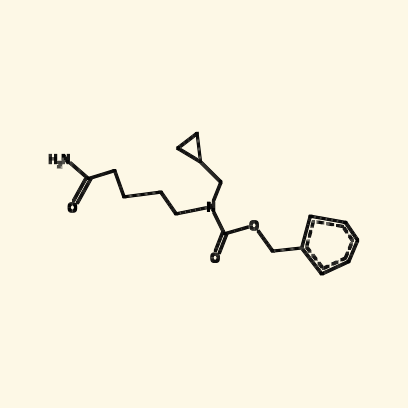 NC(=O)CCCCN(CC1CC1)C(=O)OCc1ccccc1